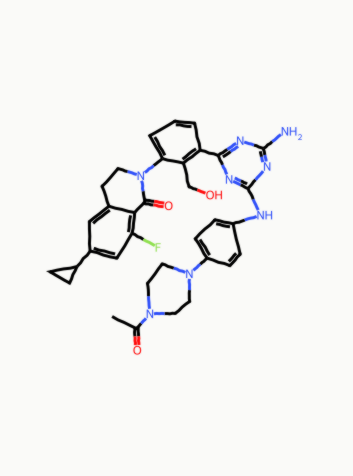 CC(=O)N1CCN(c2ccc(Nc3nc(N)nc(-c4cccc(N5CCc6cc(C7CC7)cc(F)c6C5=O)c4CO)n3)cc2)CC1